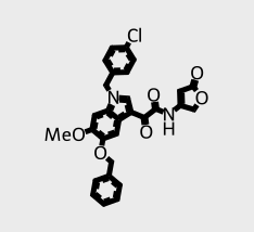 COc1cc2c(cc1OCc1ccccc1)c(C(=O)C(=O)NC1=CC(=O)OC1)cn2Cc1ccc(Cl)cc1